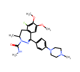 CNC(=O)N1N=C(c2ccc(N3CCN(C)CC3)cc2)c2cc(OC)c(OC)c(F)c2CC1C